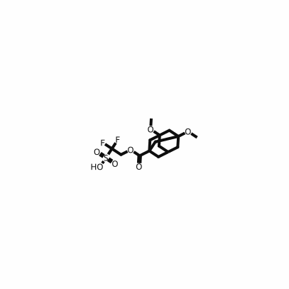 COC12CC3CC(OC)(C1)CC(C(=O)OCC(F)(F)S(=O)(=O)O)(C3)C2